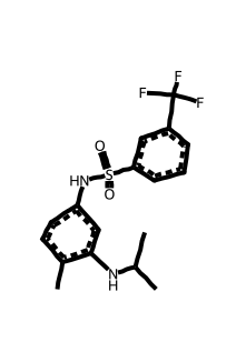 Cc1ccc(NS(=O)(=O)c2cccc(C(F)(F)F)c2)cc1NC(C)C